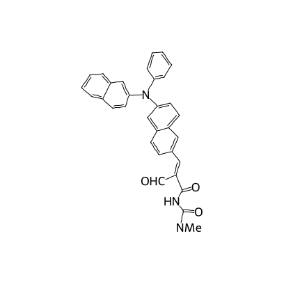 CNC(=O)NC(=O)/C(C=O)=C/c1ccc2cc(N(c3ccccc3)c3ccc4ccccc4c3)ccc2c1